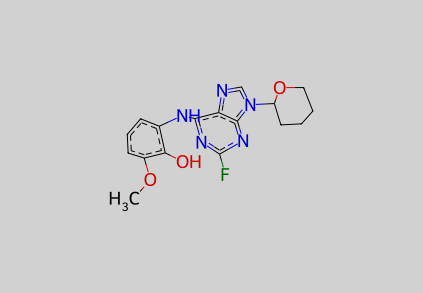 COc1cccc(Nc2nc(F)nc3c2ncn3C2CCCCO2)c1O